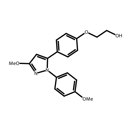 COc1ccc(-n2nc(OC)cc2-c2ccc(OCCO)cc2)cc1